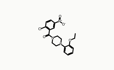 CCOc1ccccc1N1CCN(C(=O)c2cc([N+](=O)[O-])ccc2Cl)CC1